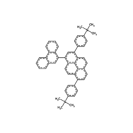 C[Si](C)(C)c1ccc(-c2ccc3ccc4c(-c5ccc([Si](C)(C)C)cc5)cc(-c5cc6ccccc6c6ccccc56)c5ccc2c3c45)cc1